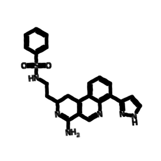 NC1=NC(CCNS(=O)(=O)c2ccccc2)Cc2c1cnc1c(-c3cc[nH]n3)cccc21